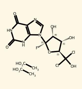 CC(=O)O.CC(=O)O.O=c1[nH]c(=O)c2ncn([C@]3(F)O[C@H](C(O)(Cl)Cl)[C@@H](O)[C@H]3O)c2[nH]1